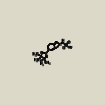 CC(C)S(=O)(=O)N[C@@H]1C=C2CC=C(B3OC(C)(C)C(C)(C)O3)C=C2C1